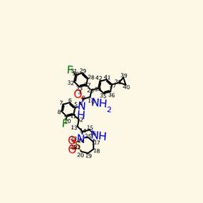 N[C@H](C(=O)Nc1cccc(F)c1CCC1CNC2CCCS(=O)(=O)N1C2)[C@@H](c1ccc(F)cc1)c1ccc(C2CC2)cc1